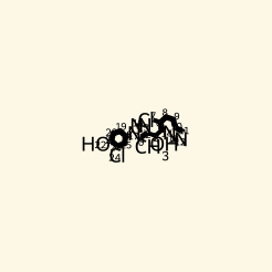 Cc1c(C(O)c2c(Cl)ccc3cncn23)nnn1-c1ccc(O)c(Cl)c1